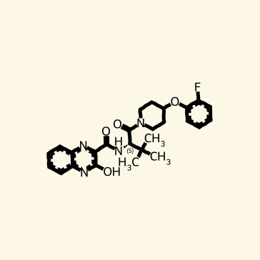 CC(C)(C)[C@H](NC(=O)c1nc2ccccc2nc1O)C(=O)N1CCC(Oc2ccccc2F)CC1